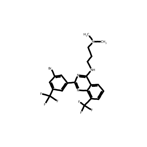 CN(C)CCCNc1nc(-c2cc(Br)cc(C(F)(F)F)c2)nc2c(C(F)(F)F)cccc12